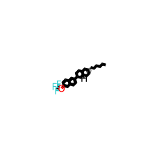 CCCCCC[C@@H]1CC[C@@H]2CC(c3ccc4cc(OC(F)(F)F)ccc4c3)CCC2C1